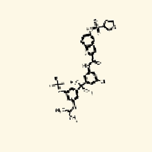 CC(C)Oc1cc(OC(F)(F)F)cc(C(C)(C)c2cc(Cl)cc(NC(=O)c3cc4cc(NS(=O)(=O)C5CCOC5)ccc4s3)c2)c1